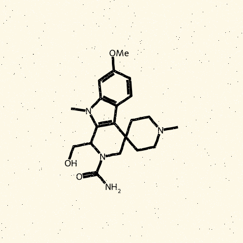 COc1ccc2c3c(n(C)c2c1)C(CO)N(C(N)=O)CC31CCN(C)CC1